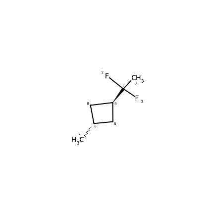 CC(F)(F)[C@H]1C[C@H](C)C1